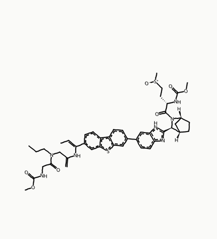 C=C(CN(CCC)C(=O)CNC(=O)OC)N/C(=C\C)c1ccc2c(c1)sc1cc(-c3ccc4nc([C@@H]5[C@H]6CC[C@H](C6)N5C(=O)[C@H](CC[S+](C)[O-])NC(=O)OC)[nH]c4c3)ccc12